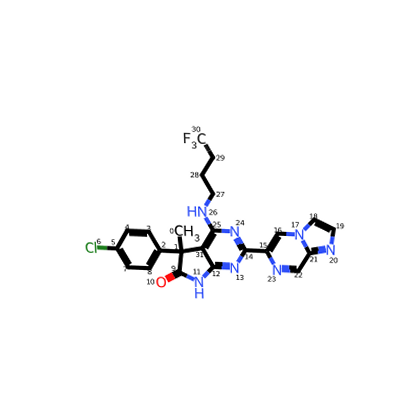 CC1(c2ccc(Cl)cc2)C(=O)Nc2nc(-c3cn4ccnc4cn3)nc(NCCCC(F)(F)F)c21